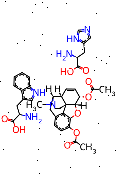 CC(=O)Oc1ccc2c3c1O[C@H]1[C@@H](OC(C)=O)C=C[C@H]4[C@@H](C2)N(C)CC[C@@]341.NC(Cc1c[nH]c2ccccc12)C(=O)O.N[C@@H](Cc1cnc[nH]1)C(=O)O